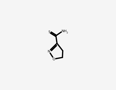 NC(=S)C1=NOCC1